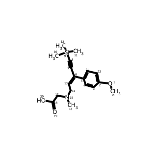 COc1ccc(/C(C#C[Si](C)(C)C)=C\CN(C)CC(=O)O)cc1